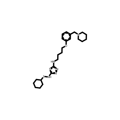 c1cc(CN2CCCCC2)cc(OCCCCNc2nnc(NSC3CCCCC3)s2)c1